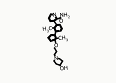 Cc1c(OCCCN2CCC(O)CC2)cccc1-c1cccc(-c2cccnc2C(N)=O)c1C